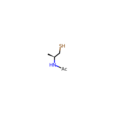 CC(=O)N[C@@H](C)CS